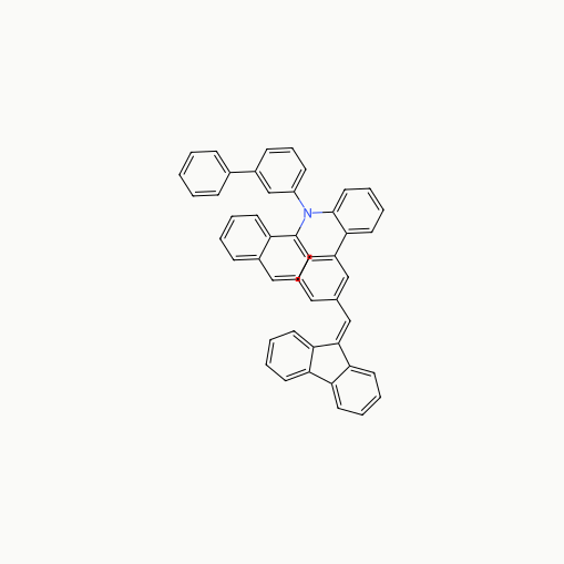 C(=C1c2ccccc2-c2ccccc21)c1cccc(-c2ccccc2N(c2cccc(-c3ccccc3)c2)c2cccc3ccccc23)c1